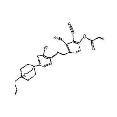 CCCC12CCC(c3ccc(CCc4ccc(OC(=O)CC)c(C#N)c4C#N)c(Br)c3)(CC1)CC2